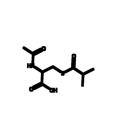 CC(=O)NC(CSC(=O)C(C)C)C(=O)O